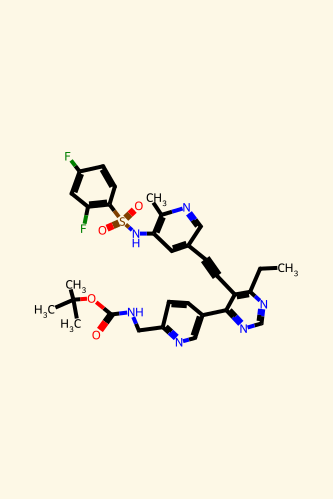 CCc1ncnc(-c2ccc(CNC(=O)OC(C)(C)C)nc2)c1C#Cc1cnc(C)c(NS(=O)(=O)c2ccc(F)cc2F)c1